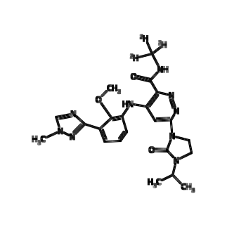 [2H]C([2H])([2H])NC(=O)c1nnc(N2CCN(C(C)C)C2=O)cc1Nc1cccc(-c2ncn(C)n2)c1OC